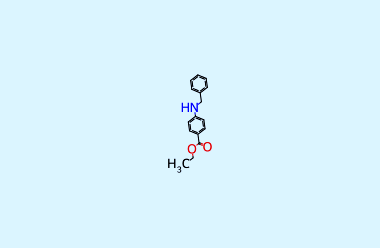 CCOC(=O)c1ccc(NCc2ccccc2)cc1